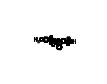 Cc1ccc(S(=O)(=O)NC(=O)Nc2ccccc2-c2cc(S(=O)(=O)O)ccc2C)cc1